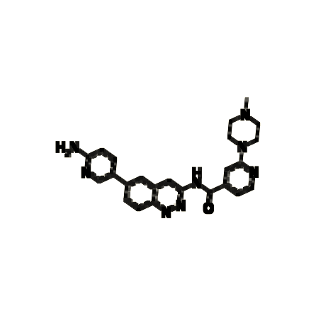 CN1CCN(c2cc(C(=O)Nc3cc4cc(-c5ccc(N)nc5)ccc4nn3)ccn2)CC1